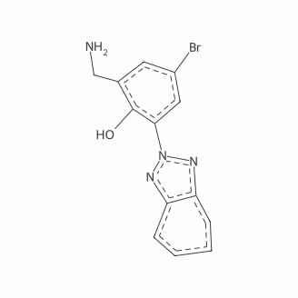 NCc1cc(Br)cc(-n2nc3ccccc3n2)c1O